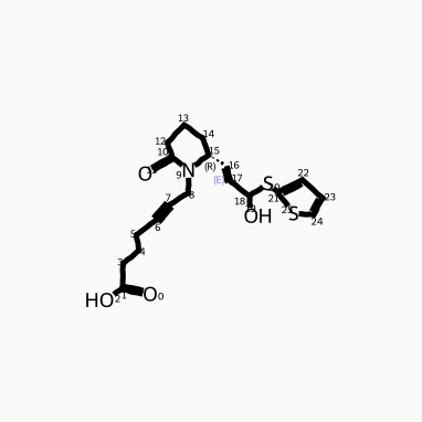 O=C(O)CCCC#CCN1C(=O)CCC[C@@H]1/C=C/C(O)Sc1cccs1